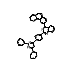 c1ccc(-c2cc(-c3ccc(-c4nc(-c5ccc6ccc7ccccc7c6c5)c5ccccc5n4)cc3)nc(-c3ccccc3)n2)cc1